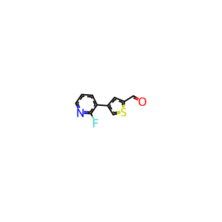 O=Cc1cc(-c2cccnc2F)cs1